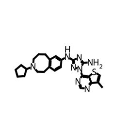 Cc1csc2c(-n3nc(Nc4ccc5c(c4)CCCN(C4CCCC4)CC5)nc3N)ncnc12